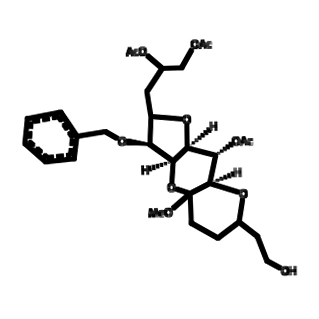 COC12CCC(CCO)O[C@@H]1[C@@H](OC(C)=O)[C@@H]1OC(CC(COC(C)=O)OC(C)=O)[C@H](OCc3ccccc3)[C@@H]1O2